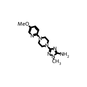 COc1ccc(N2CCN(c3nc(N)n(C)n3)CC2)nc1